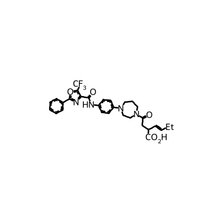 CCC=CC(CC(=O)N1CCCN(c2ccc(NC(=O)c3nc(-c4ccccc4)oc3C(F)(F)F)cc2)CC1)C(=O)O